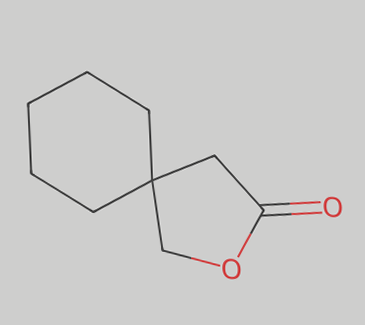 O=C1CC2(CCCCC2)CO1